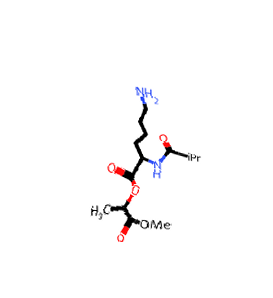 COC(=O)C(C)OC(=O)C(CCCCN)NC(=O)C(C)C